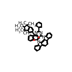 CC1C(C)(C)c2ccc(-c3ccc(-n4c5ccccc5c5ccc6c7ccccc7n(-c7nc(-c8ccccc8)nc(-c8ccccc8)n7)c6c54)cc3)cc2C1(C)C